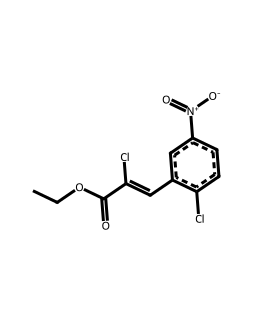 CCOC(=O)C(Cl)=Cc1cc([N+](=O)[O-])ccc1Cl